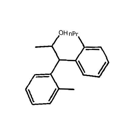 CCCc1ccccc1C(c1ccccc1C)C(C)O